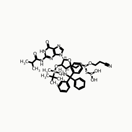 CC(C)C(=O)Nc1nc2c(ncn2[C@@H]2OC(COP(OCCC#N)SP(O)O)[C@H](NC(c3ccccc3)(c3ccccc3)c3ccccc3)C2O[Si](C)(C)C(C)(C)C)c(=O)[nH]1